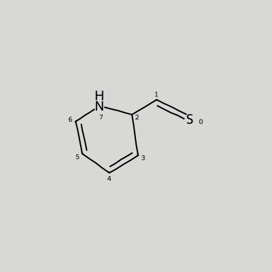 S=CC1C=CC=CN1